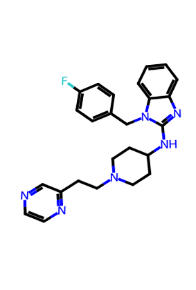 Fc1ccc(Cn2c(NC3CCN(CCc4cnccn4)CC3)nc3ccccc32)cc1